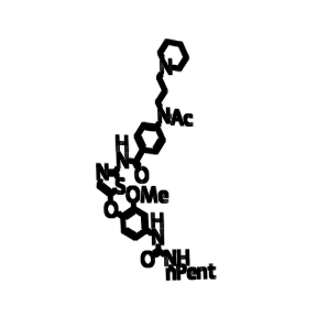 CCCCCNC(=O)Nc1ccc(Oc2cnc(NC(=O)c3ccc(N(CCCN4CCCCC4)C(C)=O)cc3)s2)c(OC)c1